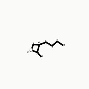 [CH2]C1OCC1CCCC